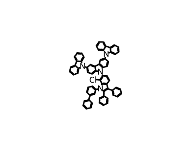 Clc1c(-n2c3ccc(-n4c5ccccc5c5ccccc54)cc3c3cc(-n4c5ccccc5c5ccccc54)ccc32)ccc2c(-c3ccccc3)c(-c3ccccc3)n(-c3cccc(-c4ccccc4)c3)c12